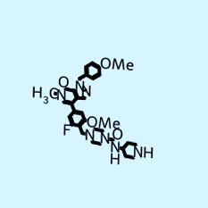 COc1ccc(Cn2ncc3c(-c4cc(F)c(CN5CCN(C(=O)NC6CCNCC6)CC5)c(OC)c4)cn(C)c(=O)c32)cc1